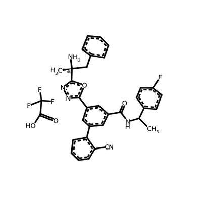 CC(NC(=O)c1cc(-c2nnc([C@](C)(N)Cc3ccccc3)o2)cc(-c2ccccc2C#N)c1)c1ccc(F)cc1.O=C(O)C(F)(F)F